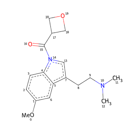 COc1ccc2c(c1)c(CCN(C)C)cn2C(=O)C1COC1